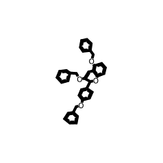 C1=C(OCc2ccccc2)C(c2ccc(OCc3ccccc3)cc2)Oc2cccc(OCc3ccccc3)c21